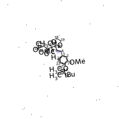 COc1cc(/C=C/C2(C(C)(C)C(=O)CP(C)(=O)OC)OCCO2)ccc1O[Si](C)(C)C(C)(C)C